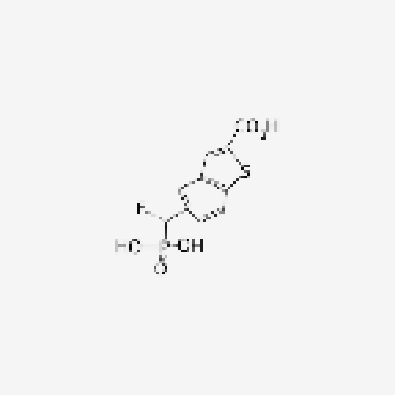 O=C(O)c1cc2cc([C@@H](F)P(=O)(O)O)ccc2s1